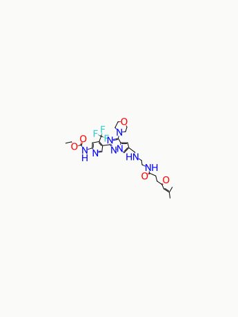 CCOC(=O)Nc1cc(C(F)(F)F)c(-c2nc(N3CCOCC3)c3cc(CNCCNC(=O)CCC(=O)C=C(C)C)cn3n2)cn1